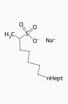 CCCCCCCCCCCCC(C)S(=O)(=O)[O-].[Na+]